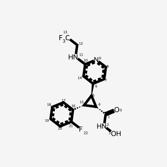 O=C(NO)[C@H]1[C@H](c2ccnc(NCC(F)(F)F)c2)[C@H]1c1ccccc1F